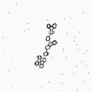 c1cc(-c2cnc3c4ccccc4c4ccccc4c3n2)cc(-n2c3ccccc3c3cc(-c4ccc(-c5ccc6c(c5)C5(c7ccccc7-c7ccccc75)c5ccccc5-6)cc4)ccc32)c1